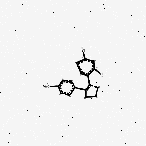 CSc1ccc(C2=C(c3ccc(Cl)cc3Cl)CCC2)cc1